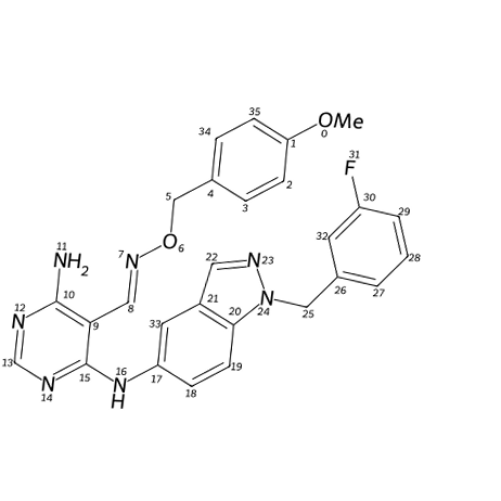 COc1ccc(CON=Cc2c(N)ncnc2Nc2ccc3c(cnn3Cc3cccc(F)c3)c2)cc1